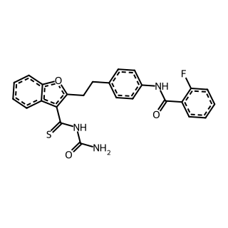 NC(=O)NC(=S)c1c(CCc2ccc(NC(=O)c3ccccc3F)cc2)oc2ccccc12